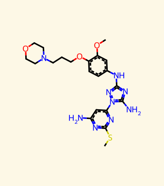 COc1cc(Nc2nc(N)n(-c3cc(N)nc(SC)n3)n2)ccc1OCCCN1CCOCC1